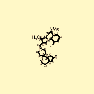 CNC(=O)c1cccc(F)c1-n1cc(CN2CCC3(CC2)OCCc2cc(F)sc23)c(C)n1